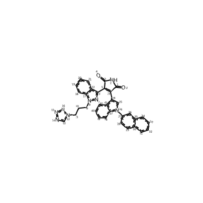 O=C1NC(=O)C(c2nn(CCCn3cnnn3)c3ccccc23)=C1c1cn(-c2ccc3ccccc3c2)c2ccccc12